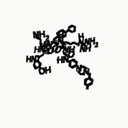 Cc1ccc(CN2CCN(c3ccc(NC(=O)CNC(=O)[C@H](CCCCNC(=N)N)NC(=O)[C@H](Cc4ccc(-c5ccccc5)cc4)NC(=O)[C@H](Cc4c[nH]c5ccc(O)cc45)NC(=O)CCCN)cc3)CC2)cc1